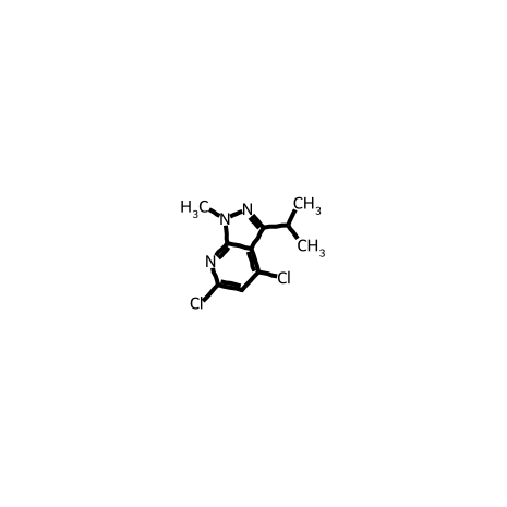 CC(C)c1nn(C)c2nc(Cl)cc(Cl)c12